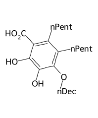 CCCCCCCCCCOc1c(O)c(O)c(C(=O)O)c(CCCCC)c1CCCCC